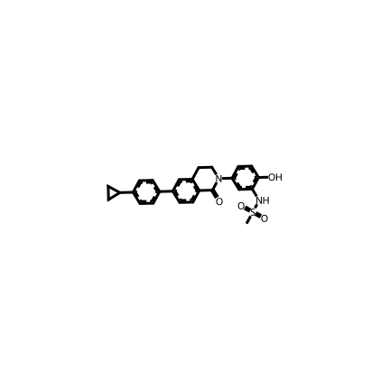 CS(=O)(=O)Nc1cc(N2CCc3cc(-c4ccc(C5CC5)cc4)ccc3C2=O)ccc1O